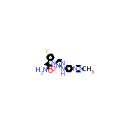 CN1CCN(c2ccc(Nc3nccc(N(C(=O)C4(C(N)=O)CC4)c4ccc(F)cc4)n3)cc2)CC1